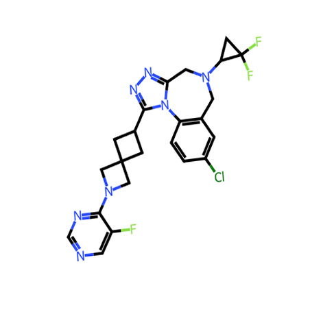 Fc1cncnc1N1CC2(CC(c3nnc4n3-c3ccc(Cl)cc3CN(C3CC3(F)F)C4)C2)C1